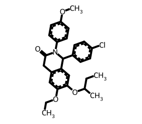 CCOc1cc2c(cc1OC(C)CC)C(c1ccc(Cl)cc1)N(c1ccc(OC)cc1)C(=O)C2